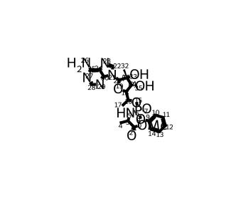 COC(=O)C(C)NP(=O)(Oc1ccccc1)OC(C)C1OC(n2cnc3c(N)ncnc32)[C@](C)(O)[C@@H]1O